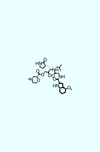 COc1cccc2[nH]c(C(=O)N[C@@H](CC(C)C)C(=O)N[C@@H](C[C@@H]3CCNC3=O)C(=O)COC(=O)[C@@H]3CN(C)CCO3)cc12